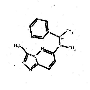 Cc1nnc2ccc(N(C)[C@H](C)c3ccccc3)nn12